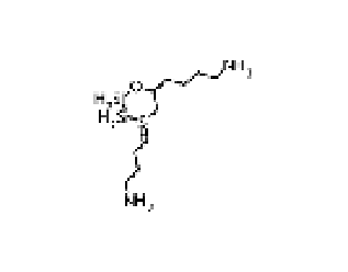 NCCCCC1C[SiH](CCCCN)[SiH2][SiH2]O1